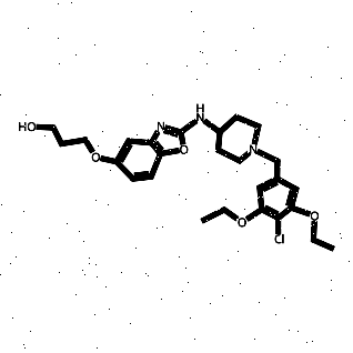 CCOc1cc(CN2CCC(Nc3nc4cc(OCCCO)ccc4o3)CC2)cc(OCC)c1Cl